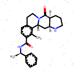 Cc1c(C(=O)N[C@H](C)c2ccccc2)ccc2c1[C@H]1C[C@@H]3NCCC[C@@H]3C(=O)N1CC2